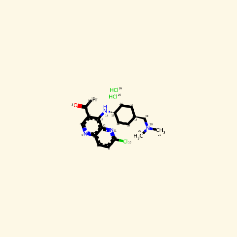 CC(C)C(=O)c1cnc2ccc(Cl)nc2c1N[C@H]1CC[C@H](CN(C)C)CC1.Cl.Cl